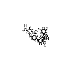 CNC(=O)C(C)Cn1cnc2ccc(-c3cnc(OC)c(NS(=O)(=O)c4cc(C)cc(C)c4)c3)cc2c1=O